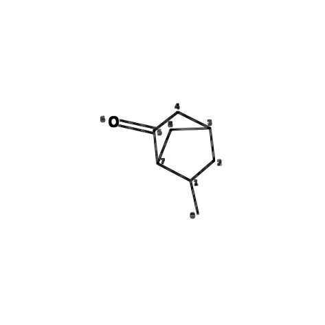 CC1CC2CC(=O)C1C2